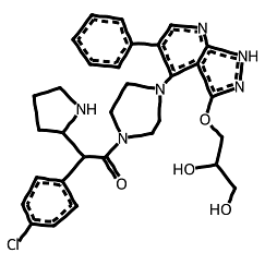 O=C(C(c1ccc(Cl)cc1)C1CCCN1)N1CCN(c2c(-c3ccccc3)cnc3[nH]nc(OCC(O)CO)c23)CC1